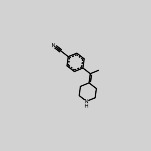 CC(=C1CCNCC1)c1ccc(C#N)cc1